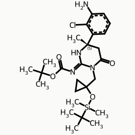 CC(C)(C)OC(=O)N=C1N[C@](C)(c2cccc(N)c2Cl)CC(=O)N1CC1(O[Si](C)(C)C(C)(C)C)CC1